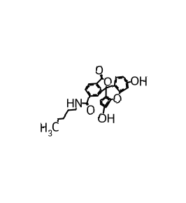 CCCCCNC(=O)c1ccc2c(c1)C1(OC2=O)c2ccc(O)cc2Oc2cc(O)ccc21